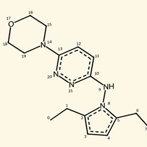 CCc1ccc(CC)n1Nc1ccc(N2CCOCC2)nn1